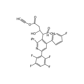 C#COC(=O)CC(O)C(c1c(-c2ccc(F)cc2)cc(-c2c(F)c(F)cc(F)c2F)nc1C(C)C)[PH](=O)O